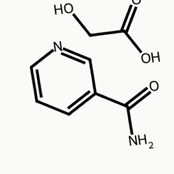 NC(=O)c1cccnc1.O=C(O)CO